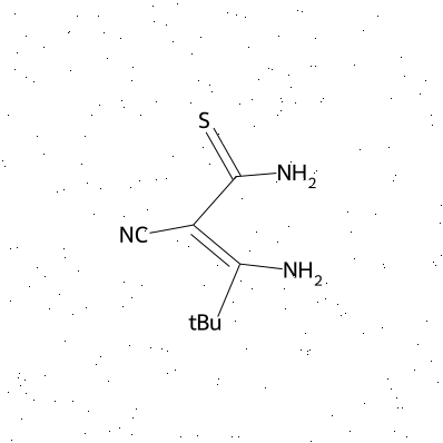 CC(C)(C)/C(N)=C(\C#N)C(N)=S